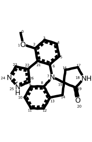 COc1cccc(N2c3ccccc3CC23CCNC3=O)c1-c1cn[nH]c1